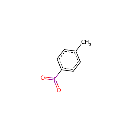 Cc1ccc(I(=O)=O)cc1